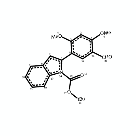 COc1cc(OC)c(-c2cc3ccccc3n2C(=O)OC(C)(C)C)cc1C=O